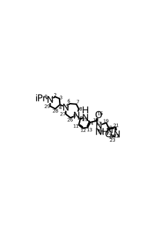 CC(C)N1CCC(N2CCCN(C3C=CC=C(C(=O)N(N)Cc4cnco4)N3)CC2)CC1